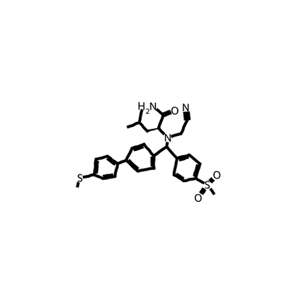 CSc1ccc(-c2ccc(C(c3ccc(S(C)(=O)=O)cc3)N(CC#N)[C@@H](CC(C)C)C(N)=O)cc2)cc1